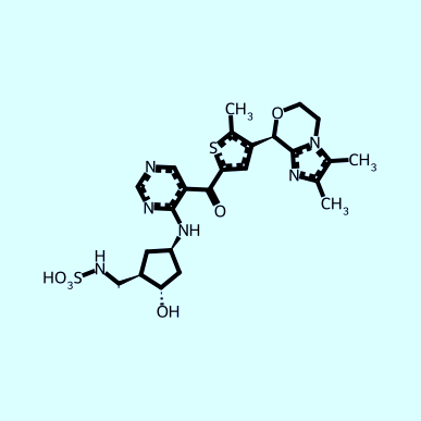 Cc1nc2n(c1C)CCO[C@@H]2c1cc(C(=O)c2cncnc2N[C@H]2C[C@H](O)[C@@H]([CH]NS(=O)(=O)O)C2)sc1C